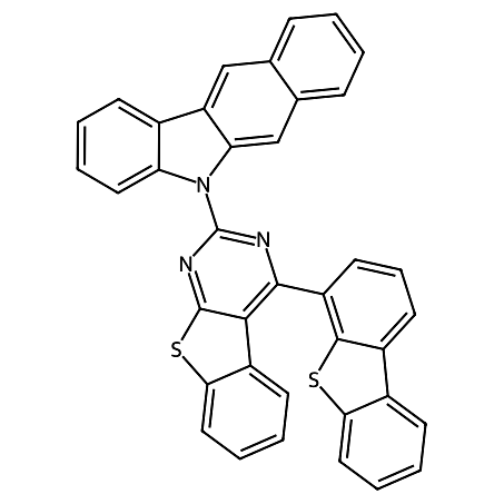 c1ccc2cc3c(cc2c1)c1ccccc1n3-c1nc(-c2cccc3c2sc2ccccc23)c2c(n1)sc1ccccc12